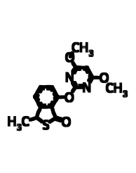 COc1cc(OC)nc(Oc2cccc3c2C(=O)SC3C)n1